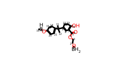 BOCCOC(=O)c1cc(C(C)(C)c2ccc(OBC)cc2)ccc1O